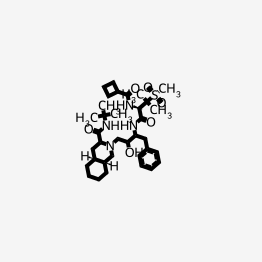 CC(C)(C)NC(=O)C1C[C@@H]2CCCC[C@@H]2CN1CC(O)C(Cc1ccccc1)NC(=O)[C@@H](NC(=O)C1CCC1)C(C)(C)S(C)(=O)=O